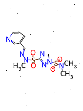 CN(/N=C/c1cccnc1)S(=O)(=O)c1ncn(S(=O)(=O)N(C)C)n1